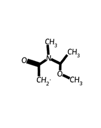 [CH2]C(=O)N(C)C(C)OC